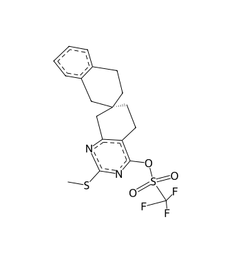 CSc1nc2c(c(OS(=O)(=O)C(F)(F)F)n1)CC[C@]1(CCc3ccccc3C1)C2